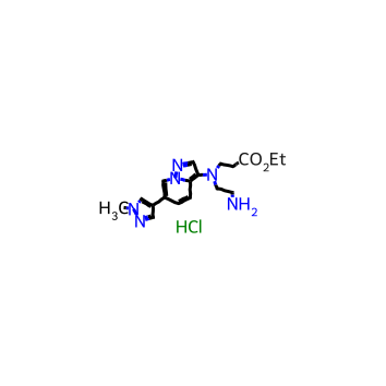 CCOC(=O)CCN(CCN)c1cnn2cc(-c3cnn(C)c3)ccc12.Cl